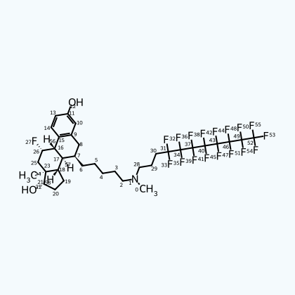 CN(CCCCC[C@@H]1Cc2cc(O)ccc2[C@@H]2[C@@H]1[C@@H]1CC[C@H](O)[C@@]1(C)C[C@@H]2F)CCCC(F)(F)C(F)(F)C(F)(F)C(F)(F)C(F)(F)C(F)(F)C(F)(F)C(F)(F)F